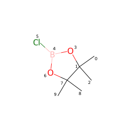 CC1(C)OB(Cl)OC1(C)C